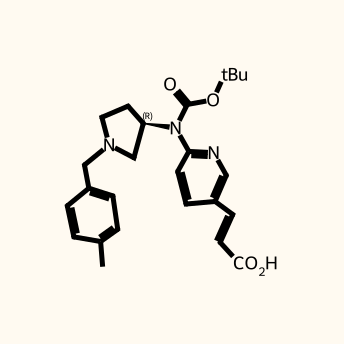 Cc1ccc(CN2CC[C@@H](N(C(=O)OC(C)(C)C)c3ccc(C=CC(=O)O)cn3)C2)cc1